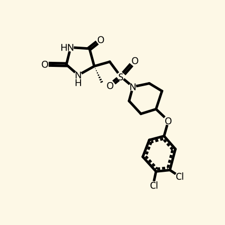 C[C@]1(CS(=O)(=O)N2CCC(Oc3ccc(Cl)c(Cl)c3)CC2)NC(=O)NC1=O